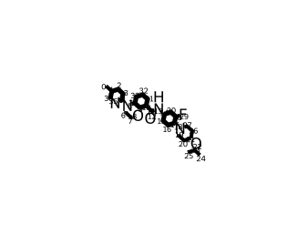 Cc1ccc(N2CCOc3c(C(=O)Nc4ccc(N5CCC(OC(C)C)CC5)c(F)c4)cccc32)nc1